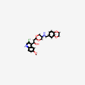 COc1ccc2ncc(F)c(C(O)CC3OCC(NCc4ccc5c(c4)OCCO5)CO3)c2c1